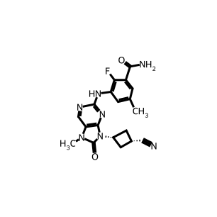 Cc1cc(Nc2ncc3c(n2)n([C@H]2C[C@@H](C#N)C2)c(=O)n3C)c(F)c(C(N)=O)c1